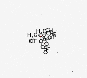 CCCCC1C=C(C(C)(C)C)C=[C]1[Zr+2](=[C](c1ccc(C(F)(F)F)cc1)c1ccc(C(F)(F)F)cc1)[c]1c(-c2ccccc2)ccc2c1Cc1cc(-c3ccccc3)ccc1-2.[Cl-].[Cl-]